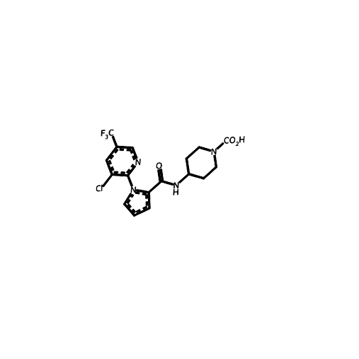 O=C(NC1CCN(C(=O)O)CC1)c1cccn1-c1ncc(C(F)(F)F)cc1Cl